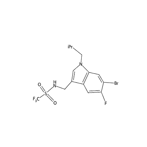 CC(C)Cn1cc(CNS(=O)(=O)C(F)(F)F)c2cc(F)c(Br)cc21